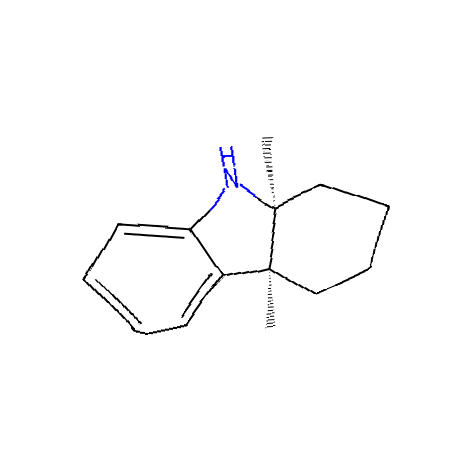 C[C@@]12CCCC[C@]1(C)Nc1ccccc12